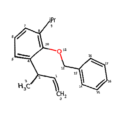 C=CC(C)c1cccc(C(C)C)c1OCc1ccccc1